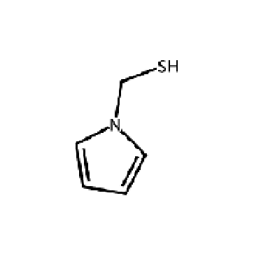 SCn1cccc1